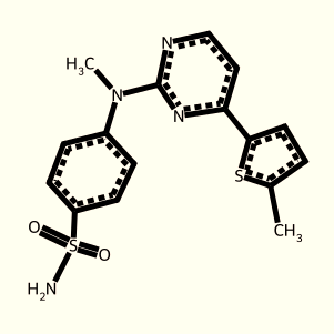 Cc1ccc(-c2ccnc(N(C)c3ccc(S(N)(=O)=O)cc3)n2)s1